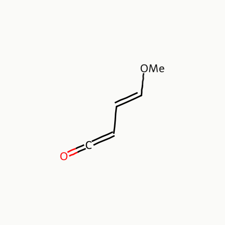 COC=CC=C=O